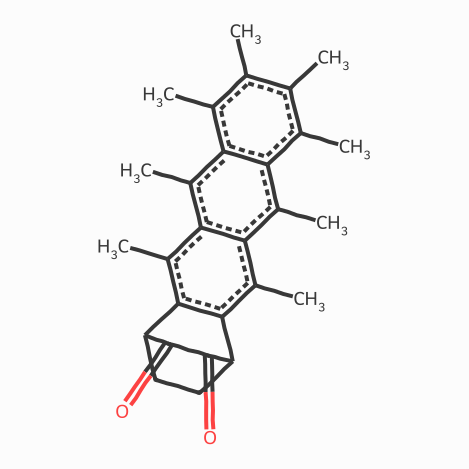 Cc1c(C)c(C)c2c(C)c3c(C)c4c(c(C)c3c(C)c2c1C)C1CCC4C(=O)C1=O